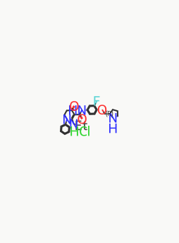 CCN1C2=C(C(=O)Nc3ccc(OC[C@H]4CCCN4)c(F)c3)C(=O)CCN2c2ccccc21.Cl